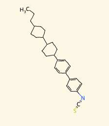 CCCC1CCC(C2CCC(c3ccc(-c4ccc(N=C=S)cc4)cc3)CC2)CC1